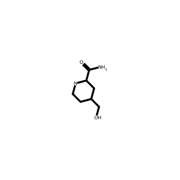 NC(=O)C1CC(CO)CC[N]1